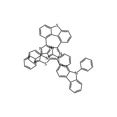 c1ccc(-c2nc(-c3ccccc3)nc(-c3cccc4sc5cccc(-c6nc(-c7ccc8c9ccccc9n(-c9ccccc9)c8c7)c7sc8ccccc8c7n6)c5c34)n2)cc1